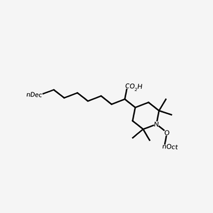 CCCCCCCCCCCCCCCCC(C(=O)O)C1CC(C)(C)N(OCCCCCCCC)C(C)(C)C1